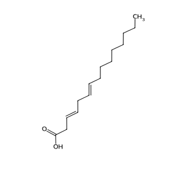 CCCCCCCCC=CCC=CCC(=O)O